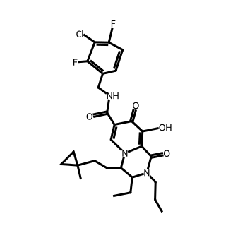 CCCN1C(=O)c2c(O)c(=O)c(C(=O)NCc3ccc(F)c(Cl)c3F)cn2C(CCC2(C)CC2)C1CC